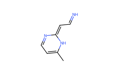 CC1=CC=N/C(=C/C=N)N1